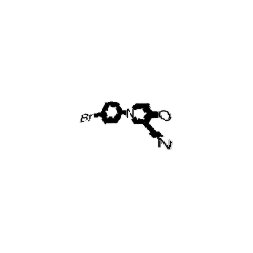 N#Cc1cn(-c2ccc(Br)cc2)ccc1=O